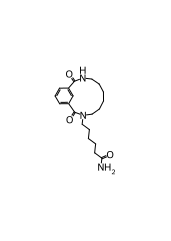 NC(=O)CCCCCN1CCCCCCNC(=O)c2cccc(c2)C1=O